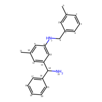 Cc1cccc(CNc2cc(C)cc(C(N)c3ccccc3)c2)c1